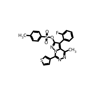 Cc1ccc(S(=O)(=O)Oc2nn3c(-c4ccsc4)nnc(C)c3c2-c2ccccc2F)cc1